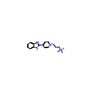 C[N+](C)(C)CCC[n+]1ccc(-c2nc3ccccc3s2)cc1